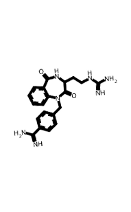 N=C(N)NCCC1NC(=O)c2ccccc2N(Cc2ccc(C(=N)N)cc2)C1=O